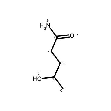 CC(O)C[CH]C(N)=O